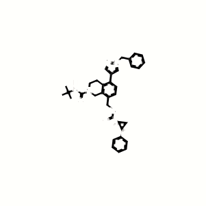 CC(C)(C)NC(=O)N1CCc2c(-c3cnn(Cc4ccccc4)c3)ccc(CNC(=O)[C@@H]3C[C@H]3c3ccccc3)c2C1